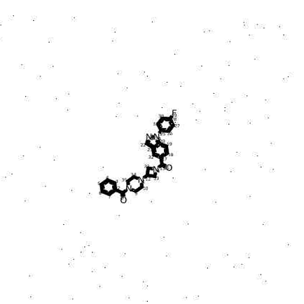 O=C(c1ccccc1)N1CCN(C2CN(C(=O)c3ccc4c(cnn4-c4ccc(F)cc4)c3)C2)CC1